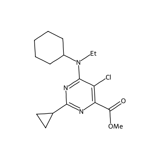 CCN(c1nc(C2CC2)nc(C(=O)OC)c1Cl)C1CCCCC1